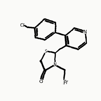 CC(C)CN1C(=O)CSC1c1ccncc1-c1ccc(Cl)cc1